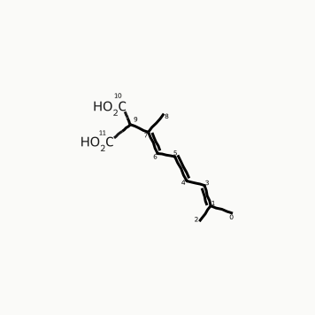 CC(C)=C/C=C/C=C(\C)C(C(=O)O)C(=O)O